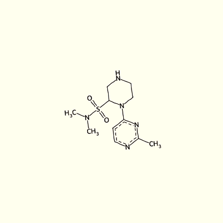 Cc1nccc(N2CCNCC2S(=O)(=O)N(C)C)n1